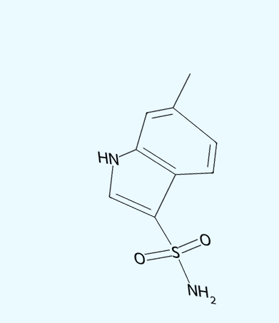 Cc1ccc2c(S(N)(=O)=O)c[nH]c2c1